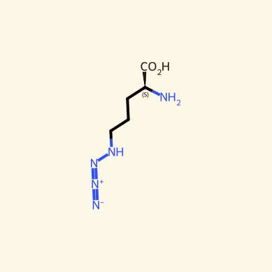 [N-]=[N+]=NNCCC[C@H](N)C(=O)O